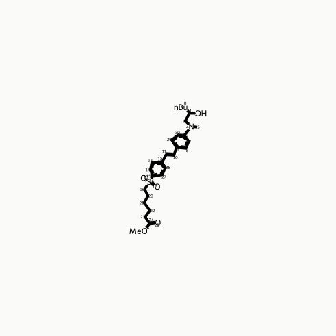 CCCCC(O)CN(C)c1ccc(C=Cc2ccc(S(=O)(=O)CCCCCC(=O)OC)cc2)cc1